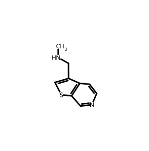 CNCc1csc2cnccc12